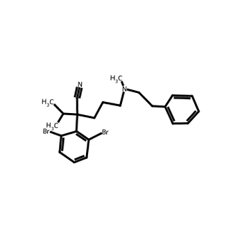 CC(C)C(C#N)(CCCN(C)CCc1ccccc1)c1c(Br)cccc1Br